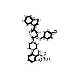 CS(=O)(=O)Nc1ccccc1N1CCN(C(=O)[C@@H](Cc2ccc(Cl)cc2)NC(=O)c2[c][nH]c3ccccc23)CC1